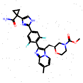 COC(=O)N1CCO[C@@H](Cc2c(-c3c(F)cc(-c4nc(C5(C(N)=O)CC5)c[nH]4)cc3F)nc3cc(C)ccn23)C1